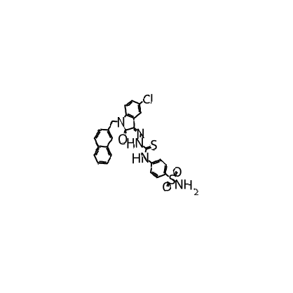 NS(=O)(=O)c1ccc(NC(=S)NN=C2C(=O)N(Cc3ccc4ccccc4c3)c3ccc(Cl)cc32)cc1